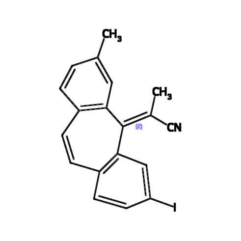 C/C(C#N)=C1\c2cc(C)ccc2C=Cc2ccc(I)cc21